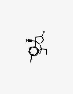 CCC(=O)N1CC(F)CC1(C#N)c1ccc(F)cc1